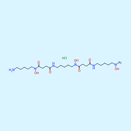 CC(=O)N(O)CCCCCNC(=O)CCC(=O)N(O)CCCCCNC(=O)CCC(=O)N(O)CCCCCN.Cl